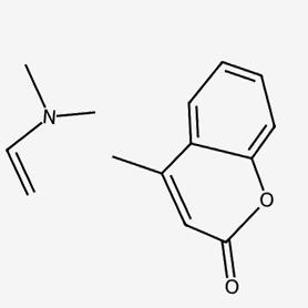 C=CN(C)C.Cc1cc(=O)oc2ccccc12